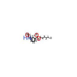 CCCCCCOC(=O)c1cccc(N[C]=O)c1